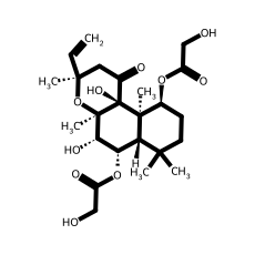 C=C[C@@]1(C)CC(=O)[C@]2(O)[C@@]3(C)[C@@H](OC(=O)CO)CCC(C)(C)[C@@H]3[C@H](OC(=O)CO)[C@H](O)[C@@]2(C)O1